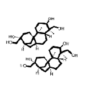 C[C@@]1(CO)[C@H](O)CC[C@@]2(C)[C@H]1CC[C@H]1C[C@@H]3C[C@@]12CC[C@]3(O)CO.C[C@@]1(CO)[C@H](O)CC[C@@]2(C)[C@H]1CC[C@H]1C[C@@H]3C[C@@]12CC[C@]3(O)CO